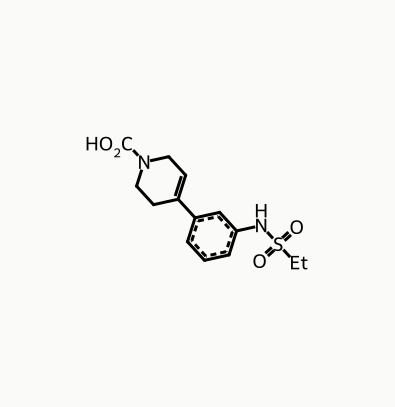 CCS(=O)(=O)Nc1cccc(C2=CCN(C(=O)O)CC2)c1